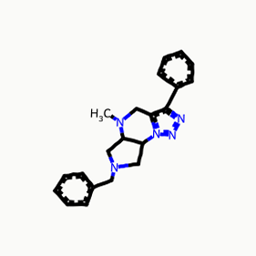 CN1Cc2c(-c3ccccc3)nnn2C2CN(Cc3ccccc3)CC21